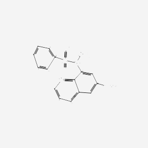 COc1cc(N(N)S(=O)(=O)c2ccccc2)c2ncccc2c1